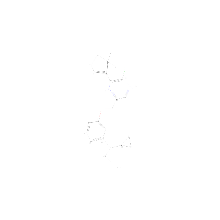 CC1(C)CCC=C1c1nc(COc2cccc(C(CC(=O)O)C3CC3)c2)cnc1Cl